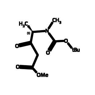 COC(=O)CC(=O)[C@H](C)N(C)C(=O)OC(C)(C)C